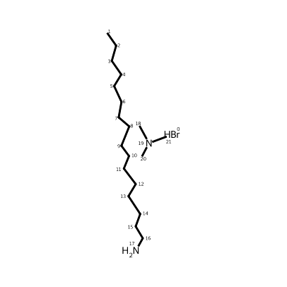 Br.CCCCCCCCCCCCCCCCN.CN(C)C